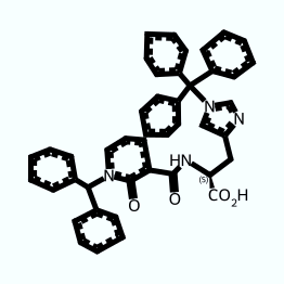 O=C(N[C@@H](Cc1cn(C(c2ccccc2)(c2ccccc2)c2ccccc2)cn1)C(=O)O)c1cccn(C(c2ccccc2)c2ccccc2)c1=O